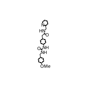 COc1ccc(CNC(=O)Nc2ccc(CC(=O)NCc3ccccn3)cc2)cc1